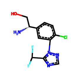 N[C@H](CO)c1ccc(Cl)c(-n2ncnc2C(F)F)c1